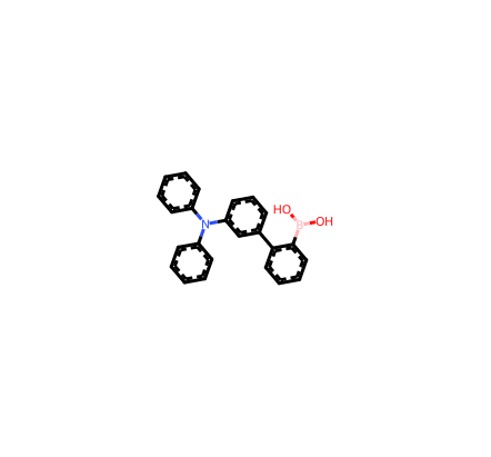 OB(O)c1ccccc1-c1cccc(N(c2ccccc2)c2ccccc2)c1